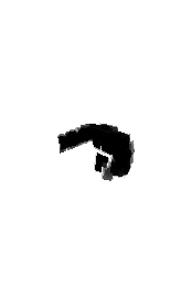 CN(C)C1CCN(c2ccc(-c3cc4c(Nc5cc(OC(F)(F)F)ccc5P(C)(C)=O)ccnc4[nH]3)cc2)CC1